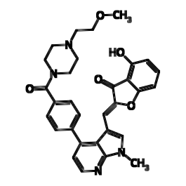 COCCN1CCN(C(=O)c2ccc(-c3ccnc4c3c(C=C3Oc5cccc(O)c5C3=O)cn4C)cc2)CC1